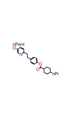 CCCCCOc1ccc(CCc2ccc(OC(=O)C3CCC(CCC)CC3)cc2)nc1